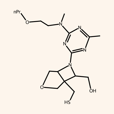 CCCOCCN(C)c1nc(C)nc(N2C(CO)C3(CS)COCC23)n1